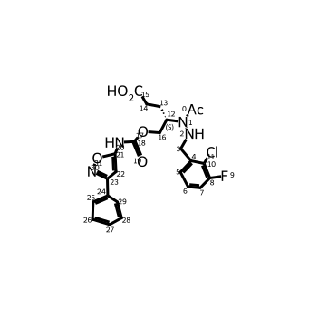 CC(=O)N(NCc1cccc(F)c1Cl)[C@@H](CCC(=O)O)COC(=O)Nc1cc(-c2ccccc2)no1